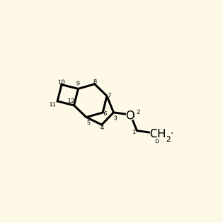 [CH2]COC1CC2CC1CC1CCC12